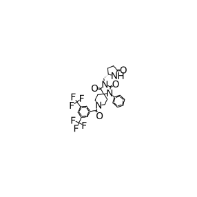 O=C1CC[C@@H](CN2C(=O)N(c3ccccc3)C3(CCN(C(=O)c4cc(C(F)(F)F)cc(C(F)(F)F)c4)CC3)C2=O)N1